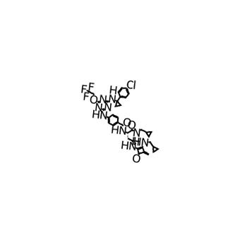 C=C1C(=O)C(NCC[C@H](NC(=O)c2ccc(Nc3nc(NC4(c5ccc(Cl)cc5)CC4)nc(OCC(F)(F)F)n3)cc2)C(=O)NCC2CC2)=C1NCC1CC1